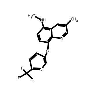 CNc1ccc(Oc2ccc(C(F)(F)F)nc2)c2ncc(C)cc12